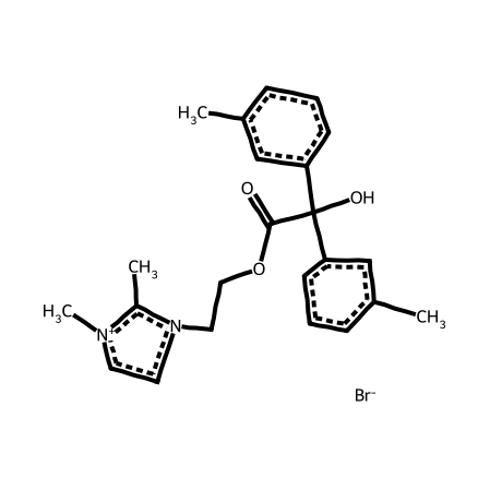 Cc1cccc(C(O)(C(=O)OCCn2cc[n+](C)c2C)c2cccc(C)c2)c1.[Br-]